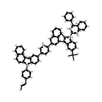 C/C=C/c1ccc(-n2c3ccc(-c4ccc(-c5cc6c7c(cccc7c5)-c5c-6c6cc(C(C)(C)C)ccc6n5-c5nc(-c6ccccc6)c6ccccc6n5)nc4)cc3c3c4ccccc4ccc32)cc1